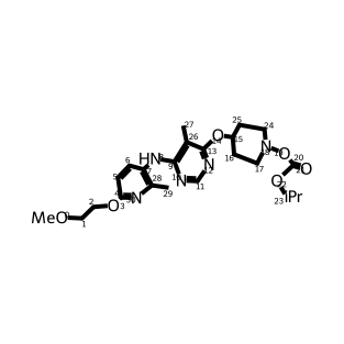 COCCOc1ccc(Nc2ncnc(OC3CCN(OC(=O)OC(C)C)CC3)c2C)c(C)n1